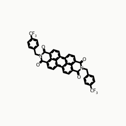 O=C1c2ccc3c4ccc5c6c(ccc(c7ccc(c2c37)C(=O)N1Cc1ccc(C(F)(F)F)cc1)c64)C(=O)N(Cc1ccc(C(F)(F)F)cc1)C5=O